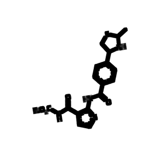 CCOC(=O)NC(=O)c1ccsc1NC(=O)c1ccc(C2CSC(C)N2)cc1